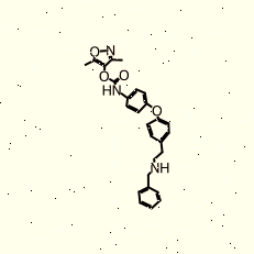 Cc1noc(C)c1OC(=O)Nc1ccc(Oc2ccc(CCNCc3ccccc3)cc2)cc1